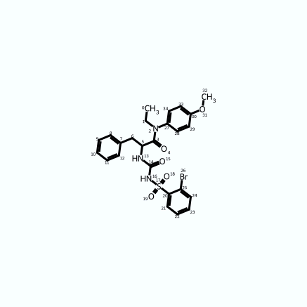 CCN(C(=O)C(Cc1ccccc1)NC(=O)NS(=O)(=O)c1ccccc1Br)c1ccc(OC)cc1